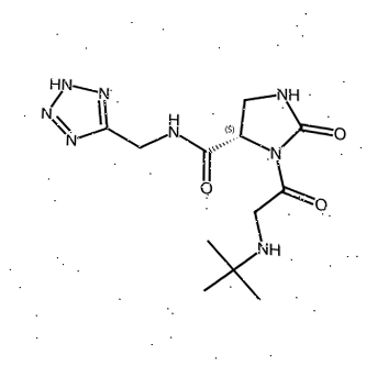 CC(C)(C)NCC(=O)N1C(=O)NC[C@H]1C(=O)NCc1nn[nH]n1